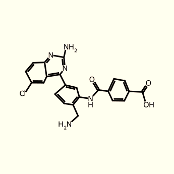 NCc1ccc(-c2nc(N)nc3ccc(Cl)cc23)cc1NC(=O)c1ccc(C(=O)O)cc1